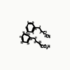 N#CCCCc1ccccc1.O=C(O)CCCc1ccccc1